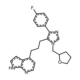 Fc1ccc(-c2ncn(CC3CCCO3)c2CCCc2ccnc3[nH]ccc23)cc1